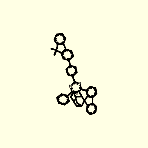 CC1(C)c2ccccc2-c2ccc(-c3ccc(-c4nc(-c5ccccc5)nc(-c5cccc6c5C5(c7ccccc7-6)C6CC7CC(C6)CC5C7)n4)cc3)cc21